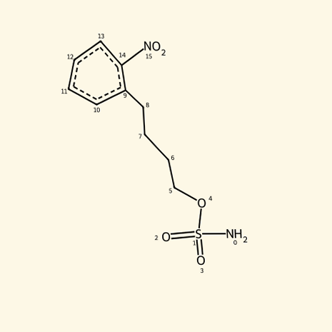 NS(=O)(=O)OCCCCc1ccccc1[N+](=O)[O-]